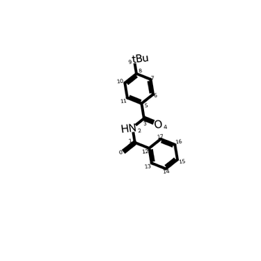 C=C(NC(=O)c1ccc(C(C)(C)C)cc1)c1ccccc1